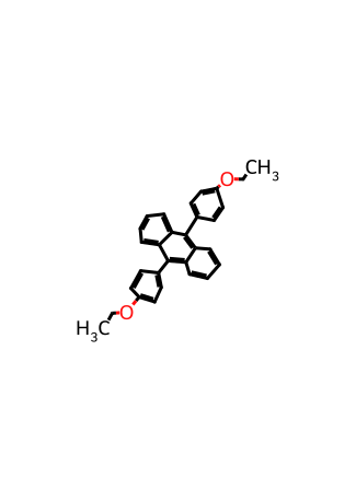 CCOc1ccc(-c2c3ccccc3c(-c3ccc(OCC)cc3)c3ccccc23)cc1